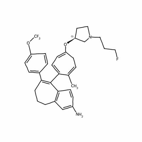 CC1=CCC(O[C@H]2CCN(CCCF)C2)=CC=C1C1=C(c2ccc(OC(F)(F)F)cc2)CCCc2cc(N)ccc21